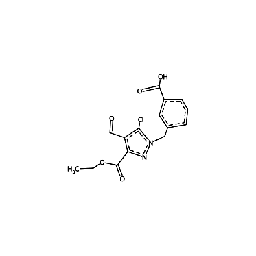 CCOC(=O)c1nn(Cc2cccc(C(=O)O)c2)c(Cl)c1C=O